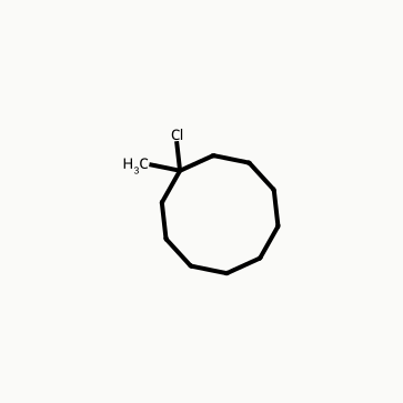 CC1(Cl)CCCCCCCCC1